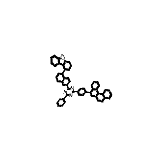 c1ccc(-c2nc(-c3ccc(-c4cc5ccc6ccccc6c5c5ccccc45)cc3)nc(-c3ccc4c(-c5cccc6oc7ccccc7c56)cccc4c3)n2)cc1